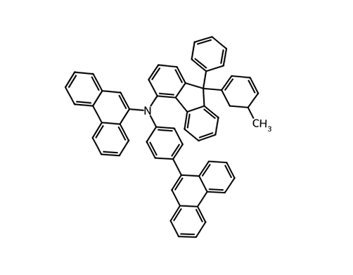 CC1C=CC=C(C2(c3ccccc3)c3ccccc3-c3c(N(c4ccc(-c5cc6ccccc6c6ccccc56)cc4)c4cc5ccccc5c5ccccc45)cccc32)C1